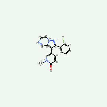 Cn1cc(-c2c(-c3ccccc3F)nn3ccncc23)ccc1=O